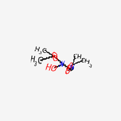 CCCCCCCCC(CCCCCC)C(=O)OCCCCCN(CCCCO)CCCCCCOC(=O)[C@@H]1CCCN1C(=O)C(CCCCCC)CCCCCCCC